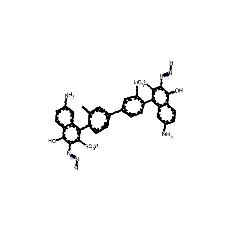 [H]/N=N/c1c(S(=O)(=O)O)c(-c2ccc(-c3ccc(-c4c(S(=O)(=O)O)c(/N=N/[H])c(O)c5ccc(N)cc45)c(C)c3)cc2C)c2cc(N)ccc2c1O